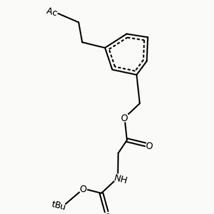 CC(=O)CCc1cccc(COC(=O)CNC(=O)OC(C)(C)C)c1